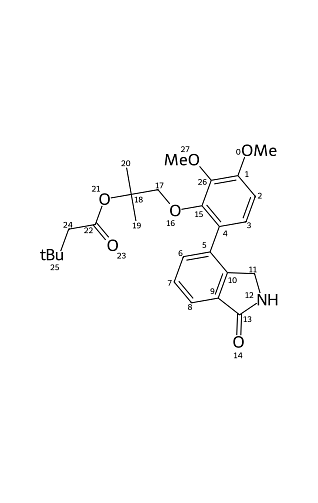 COc1ccc(-c2cccc3c2CNC3=O)c(OCC(C)(C)OC(=O)CC(C)(C)C)c1OC